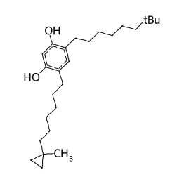 CC(C)(C)CCCCCCc1cc(CCCCCCC2(C)CC2)c(O)cc1O